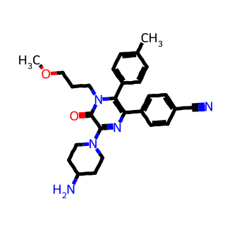 COCCCn1c(-c2ccc(C)cc2)c(-c2ccc(C#N)cc2)nc(N2CCC(N)CC2)c1=O